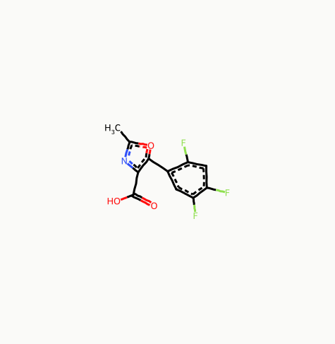 Cc1nc(C(=O)O)c(-c2cc(F)c(F)cc2F)o1